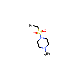 CC[C@H](C)N1CCN(S(=O)(=O)CC(C)C)CC1